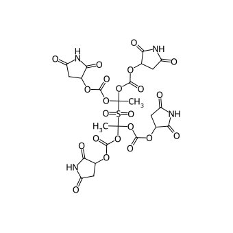 CC(OC(=O)OC1CC(=O)NC1=O)(OC(=O)OC1CC(=O)NC1=O)S(=O)(=O)C(C)(OC(=O)OC1CC(=O)NC1=O)OC(=O)OC1CC(=O)NC1=O